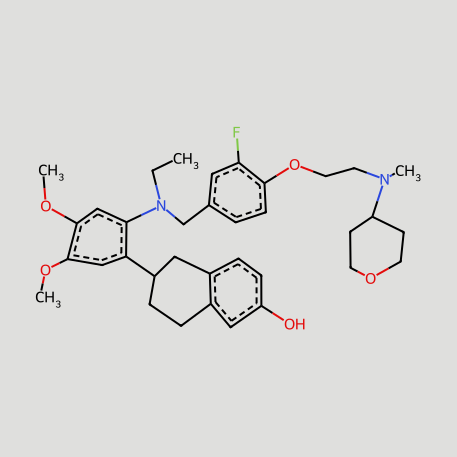 CCN(Cc1ccc(OCCN(C)C2CCOCC2)c(F)c1)c1cc(OC)c(OC)cc1C1CCc2cc(O)ccc2C1